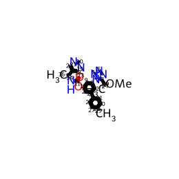 CO[C@H](C)c1nnnn1-c1cc(OC(=O)NC(C)c2cncnc2)cc(-c2ccc(C)cc2)c1